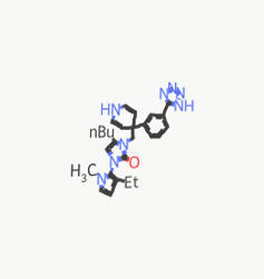 CCCCc1cn(-c2c(CC)ccn2C)c(=O)n1CC1(c2cccc(-c3nnn[nH]3)c2)C=CNC=C1